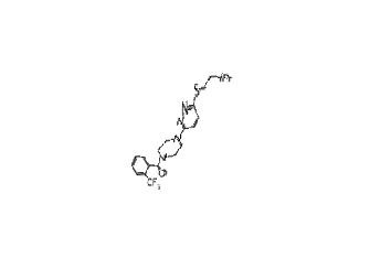 CC(C)CCSc1ccc(N2CCN(C(=O)c3ccccc3C(F)(F)F)CC2)nn1